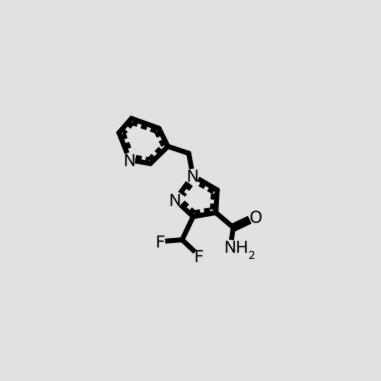 NC(=O)c1cn(Cc2cccnc2)nc1C(F)F